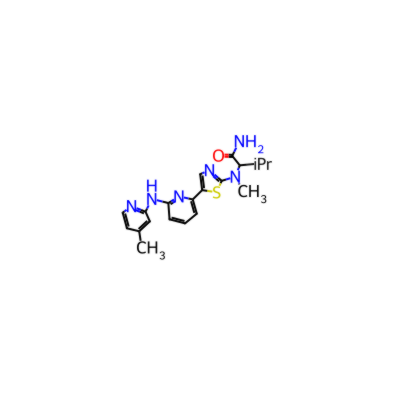 Cc1ccnc(Nc2cccc(-c3cnc(N(C)C(C(N)=O)C(C)C)s3)n2)c1